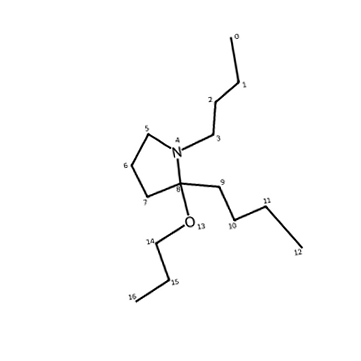 CCCCN1CCCC1(CCCC)OCCC